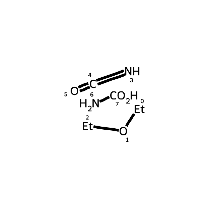 CCOCC.N=C=O.NC(=O)O